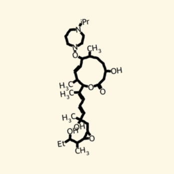 CCC(O)C(C)C1OC1CC(C)(O)/C=C/C=C(\C)C1OC(=O)CC(O)CCC(C)C(ON2CCCN(C(C)C)CC2)/C=C/C1C